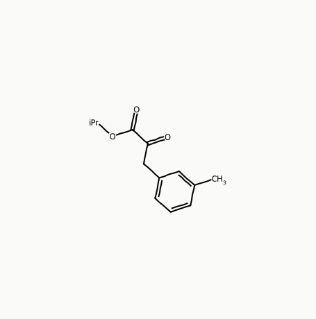 Cc1cccc(CC(=O)C(=O)OC(C)C)c1